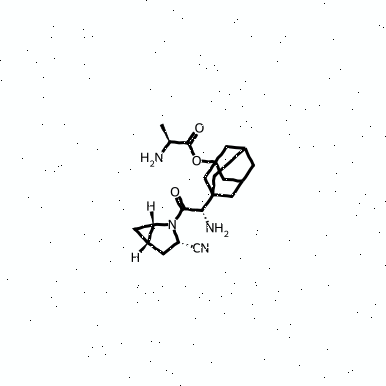 C[C@H](N)C(=O)OC12CC3CC(C1)CC([C@H](N)C(=O)N1[C@H](C#N)C[C@@H]4C[C@@H]41)(C3)C2